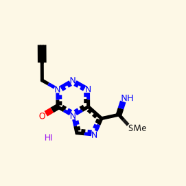 C#CCn1nnc2c(C(=N)SC)ncn2c1=O.I